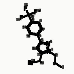 CCCn1nc(-c2ccc(C(F)(F)F)cc2)cc1CBr